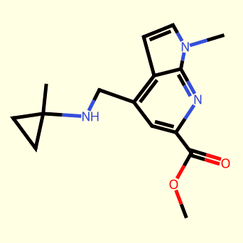 COC(=O)c1cc(CNC2(C)CC2)c2ccn(C)c2n1